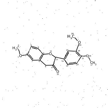 COc1ccc2c(c1)CC(=O)C(c1ccc(OC)c(OC)c1)O2